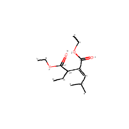 CCOC(=O)C(=CC(C)C)C(CC)C(=O)OCC